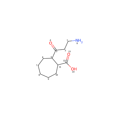 NCCC(=O)C1CCCCCC1C(=O)O